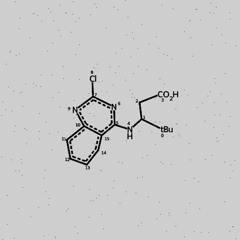 CC(C)(C)C(CC(=O)O)Nc1nc(Cl)nc2ccccc12